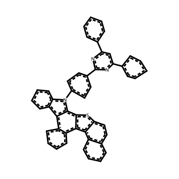 c1ccc(-c2cc(-c3ccccc3)nc(-c3ccc(-n4c5ccccc5c5c6ccccc6c6c(sc7ccc8ccccc8c76)c54)cc3)n2)cc1